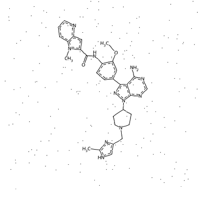 COc1cc(-c2nn(C3CCN(Cc4c[nH]c(C)n4)CC3)c3ncnc(N)c23)ccc1NC(=O)c1cc2ncccc2n1C